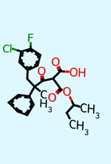 CCC(C)OC(=O)C(C(=O)O)C(=O)C(C)(Cc1ccc(F)c(Cl)c1)c1ccccc1